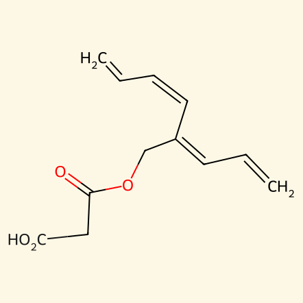 C=C/C=C\C(=C/C=C)COC(=O)CC(=O)O